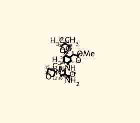 COC(=O)Cc1cc(Nc2nn(C3COCC[C@@H]3C)cc2C(N)=O)ccc1B1OCC(C)(C)CO1